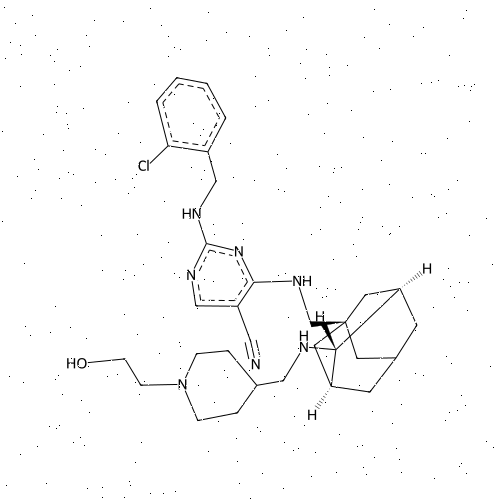 N#Cc1cnc(NCc2ccccc2Cl)nc1NC[C@]12CC3C[C@H](C1)[C@@H](NCC1CCN(CCO)CC1)[C@@H](C3)C2